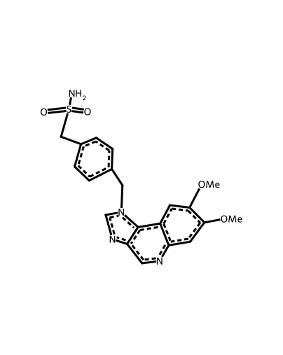 COc1cc2ncc3ncn(Cc4ccc(CS(N)(=O)=O)cc4)c3c2cc1OC